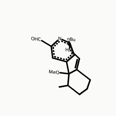 CCCCN/C=C1/CCCC(C)C1(OC)c1ccnc(C=O)c1